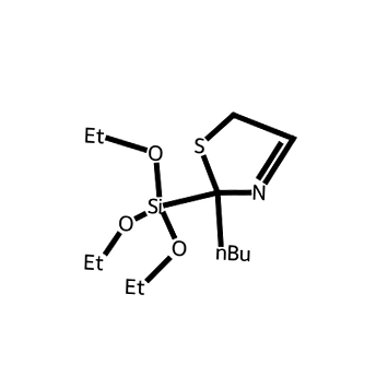 CCCCC1([Si](OCC)(OCC)OCC)N=CCS1